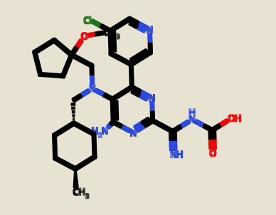 COC1(CN(C[C@H]2CC[C@H](C)CC2)c2c(N)nc(C(=N)NC(=O)O)nc2-c2cncc(Cl)c2)CCCC1